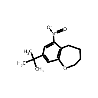 CC(C)(C)c1cc2c(c([N+](=O)[O-])c1)CCCCO2